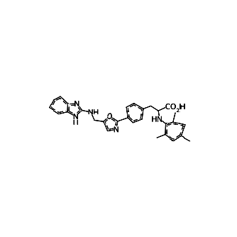 Cc1cc(C)c(NC(Cc2ccc(-c3ncc(CNc4nc5ccccc5[nH]4)o3)cc2)C(=O)O)c(C)c1